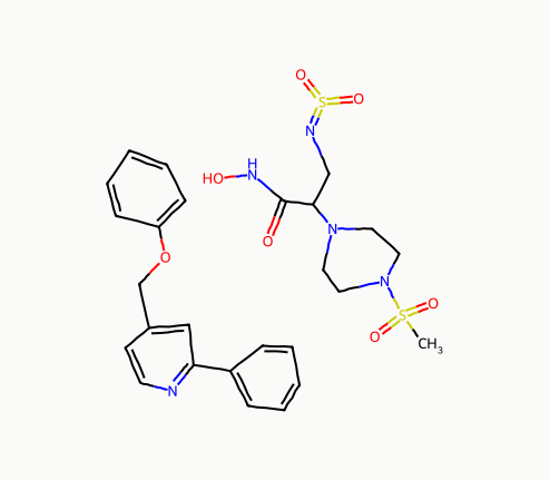 CS(=O)(=O)N1CCN(C(CN=S(=O)=O)C(=O)NO)CC1.c1ccc(OCc2ccnc(-c3ccccc3)c2)cc1